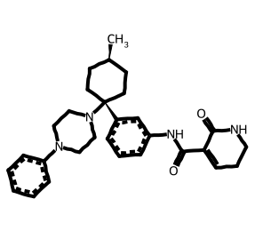 C[C@H]1CC[C@](c2cccc(NC(=O)C3=CCCNC3=O)c2)(N2CCN(c3ccccc3)CC2)CC1